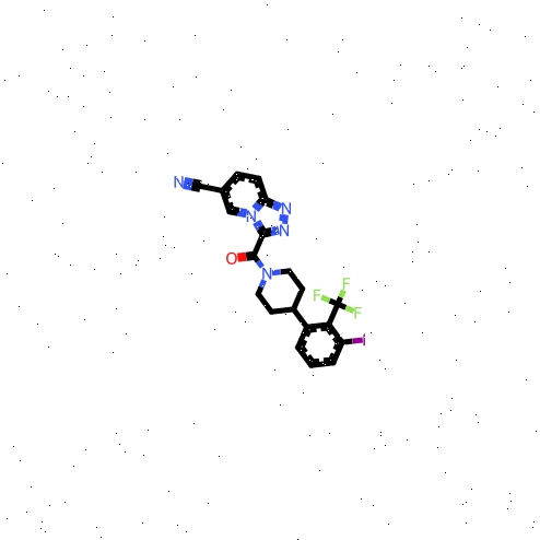 N#Cc1ccc2nnc(C(=O)N3CCC(c4cccc(I)c4C(F)(F)F)CC3)n2c1